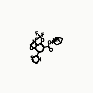 O=C(ON1CC2CC(C1)N2)c1cc(-c2nccs2)c2ocnc2c1OC(F)(F)F